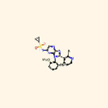 CCc1ccnc(CC)c1-c1nc2ncc(NS(=O)(=O)C3CC3)nc2n1-c1c(OC)cccc1OC